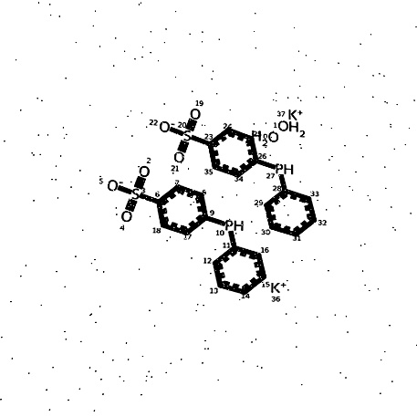 O.O.O=S(=O)([O-])c1ccc(Pc2ccccc2)cc1.O=S(=O)([O-])c1ccc(Pc2ccccc2)cc1.[K+].[K+]